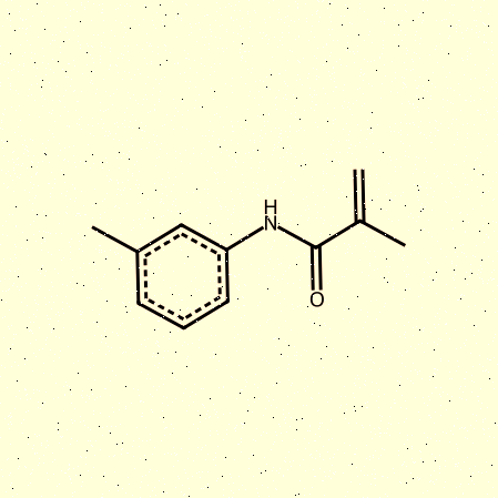 C=C(C)C(=O)Nc1cccc(C)c1